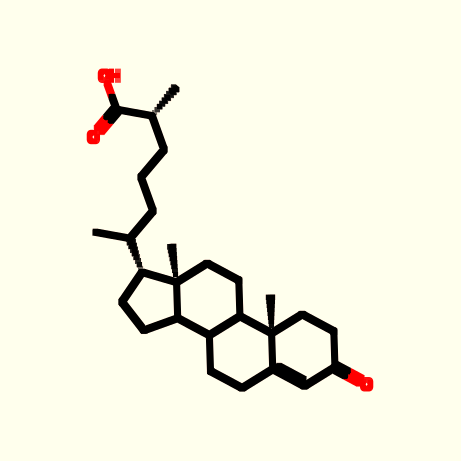 CC(CCC[C@@H](C)C(=O)O)[C@H]1CCC2C3CCC4=CC(=O)CC[C@]4(C)C3CC[C@@]21C